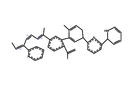 C=C(C)c1ccc(/C(C)=C/C=C\C(=C/C)c2ccccn2)cc1C1=CC(c2cccc(C3C=CC=CN3)n2)CC=C1C